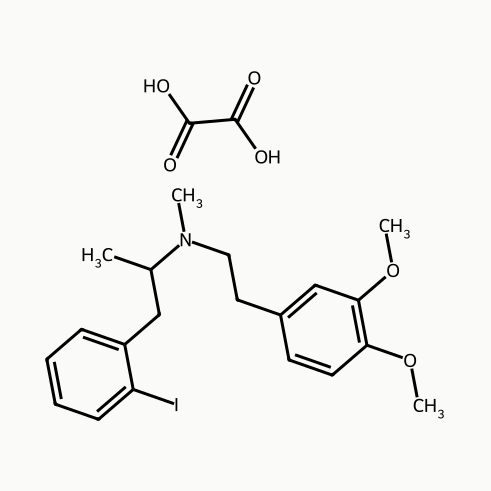 COc1ccc(CCN(C)C(C)Cc2ccccc2I)cc1OC.O=C(O)C(=O)O